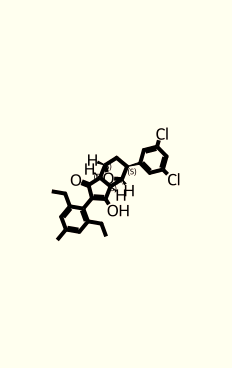 CCc1cc(C)cc(CC)c1C1=C(O)[C@@H]2[C@@H]3O[C@@H](C[C@H]3c3cc(Cl)cc(Cl)c3)[C@@H]2C1=O